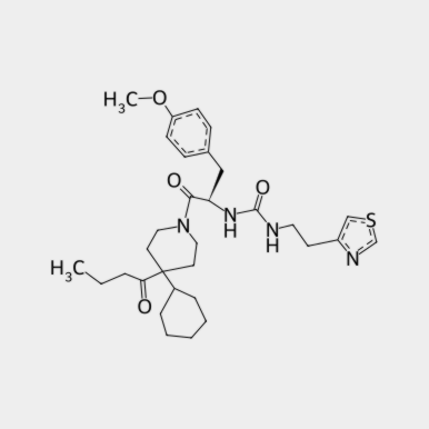 CCCC(=O)C1(C2CCCCC2)CCN(C(=O)[C@@H](Cc2ccc(OC)cc2)NC(=O)NCCc2cscn2)CC1